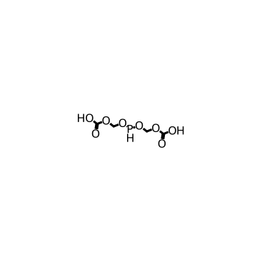 O=C(O)OCOPOCOC(=O)O